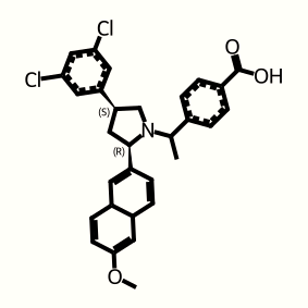 COC1=CC2C=CC([C@H]3C[C@@H](c4cc(Cl)cc(Cl)c4)CN3C(C)c3ccc(C(=O)O)cc3)=CC2C=C1